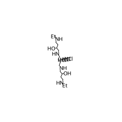 CCNCCC(O)CNCCCCNCC(O)CCNCC.Cl.Cl.Cl.Cl